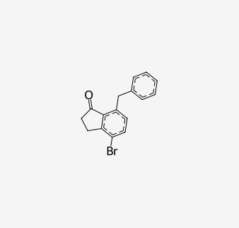 O=C1CCc2c(Br)ccc(Cc3ccccc3)c21